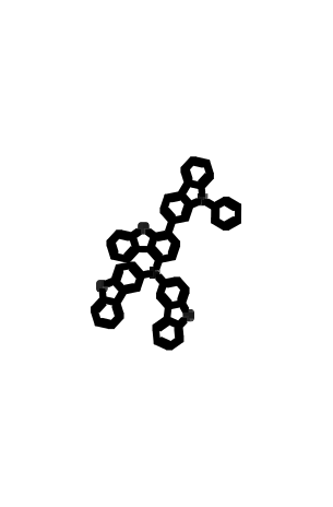 c1ccc(-n2c3ccccc3c3ccc(-c4ccc(N(c5ccc6oc7ccccc7c6c5)c5ccc6oc7ccccc7c6c5)c5c4oc4ccccc45)cc32)cc1